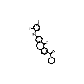 O=C1c2ccc(Nc3ccc(F)cc3F)cc2CCc2ccc(C(=O)N3CCCCC3)cc21